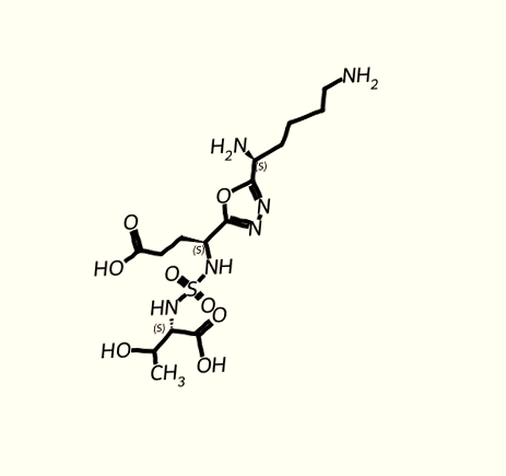 CC(O)[C@H](NS(=O)(=O)N[C@@H](CCC(=O)O)c1nnc([C@@H](N)CCCCN)o1)C(=O)O